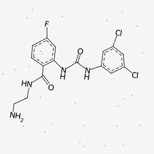 NCCNC(=O)c1ccc(F)cc1NC(=O)Nc1cc(Cl)cc(Cl)c1